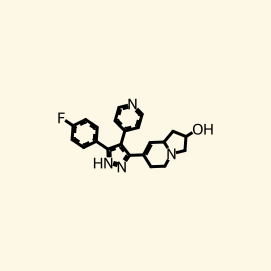 OC1CC2C=C(c3n[nH]c(-c4ccc(F)cc4)c3-c3ccncc3)CCN2C1